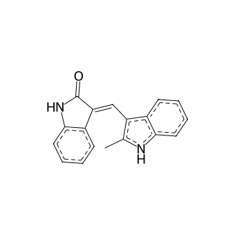 Cc1[nH]c2ccccc2c1C=C1C(=O)Nc2ccccc21